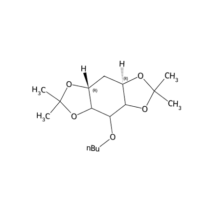 CCCCOC1C2OC(C)(C)O[C@@H]2C[C@H]2OC(C)(C)OC12